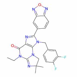 CCN1C(=O)c2nc(-c3ccc4nonc4c3)n(Cc3ccc(F)c(F)c3)c2N2CC(C)(C)N=C12